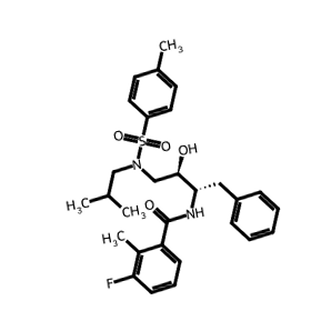 Cc1ccc(S(=O)(=O)N(CC(C)C)C[C@@H](O)[C@H](Cc2ccccc2)NC(=O)c2cccc(F)c2C)cc1